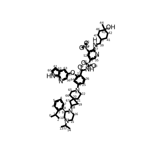 CC(C)c1ccccc1[C@@H]1CN(C(C)C)CCN1C1CC2(CCN(c3ccc(C(=O)NS(=O)(=O)c4cnc(NCC5CCC(C)(O)CC5)c([N+](=O)[O-])c4)c(Oc4cnc5[nH]ccc5c4)c3)CC2)C1